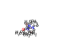 CC(C)(C)c1ccc(N2B3c4ccc(N(c5cccc(-c6ccccc6)c5)c5cccc(-c6ccccc6)c5)cc4N(c4ccc(C(C)(C)C)cc4-c4ccccc4)c4cc(-c5ccccc5)cc(c43)-c3cc4oc5cc6c(cc5c4cc32)C(C)(C)CCC6(C)C)cc1